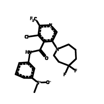 C[S+]([O-])c1cccc(NC(=O)c2c(N3CCCC(F)(F)CC3)cnc(C(F)(F)F)c2Cl)c1